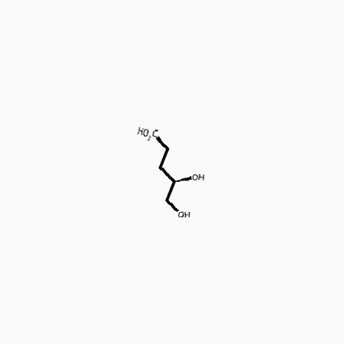 O=C(O)CC[C@@H](O)CO